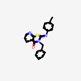 Cc1ccc(/N=c2\sc3ncccc3c(=O)n2Cc2ccccc2)cc1